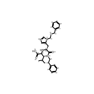 CC(C)CC(N[C@@H](Cc1cncn1COCc1ccccc1)C(=O)NCCc1ccccc1)C(=O)O